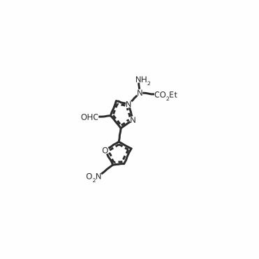 CCOC(=O)N(N)n1cc(C=O)c(-c2ccc([N+](=O)[O-])o2)n1